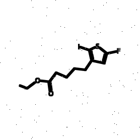 CCOC(=O)CCCCc1cc(F)sc1I